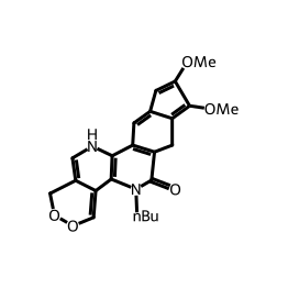 CCCCn1c2c(c3c(c1=O)CC1=C(OC)C(OC)=CC1=C3)NC=C1COOC=C12